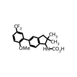 COc1ccc(C(F)(F)F)cc1-c1ccc2c(c1)CC(C)(C)C2NC(=O)O